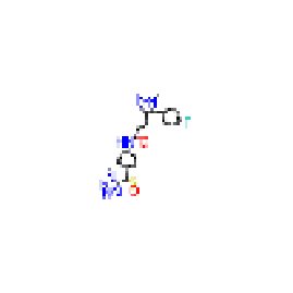 Cn1nnnc1C(=S=O)c1ccc(NC(=O)C=Cc2cnn(C)c2-c2ccc(F)cc2)cc1